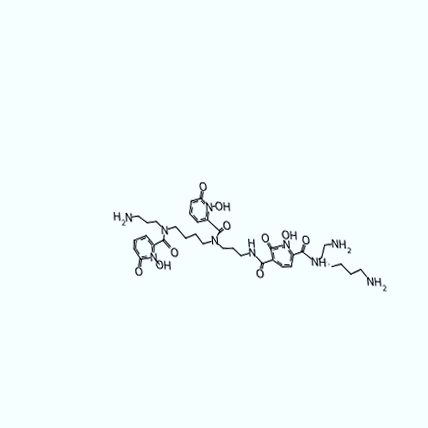 NCCCC[C@@H](CN)NC(=O)c1ccc(C(=O)NCCCN(CCCCN(CCCN)C(=O)c2cccc(=O)n2O)C(=O)c2cccc(=O)n2O)c(=O)n1O